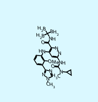 BC(B)(B)NC(=O)c1nnc(NC(=O)N(C)C2CC2)cc1Nc1cccc(-c2ncn(C)n2)c1OC